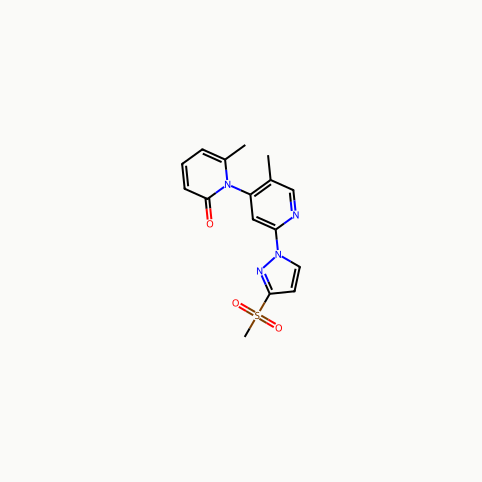 Cc1cnc(-n2ccc(S(C)(=O)=O)n2)cc1-n1c(C)cccc1=O